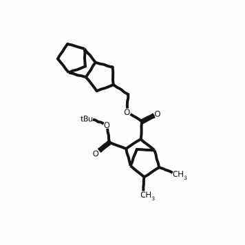 CC1C(C)C2CC1C(C(=O)OCC1CC3C4CCC(C4)C3C1)C2C(=O)OC(C)(C)C